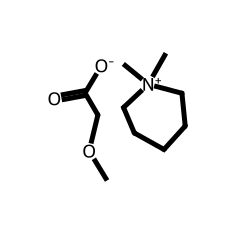 COCC(=O)[O-].C[N+]1(C)CCCCC1